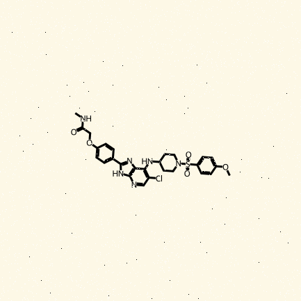 CNC(=O)COc1ccc(-c2nc3c(NC4CCN(S(=O)(=O)c5ccc(OC)cc5)CC4)c(Cl)cnc3[nH]2)cc1